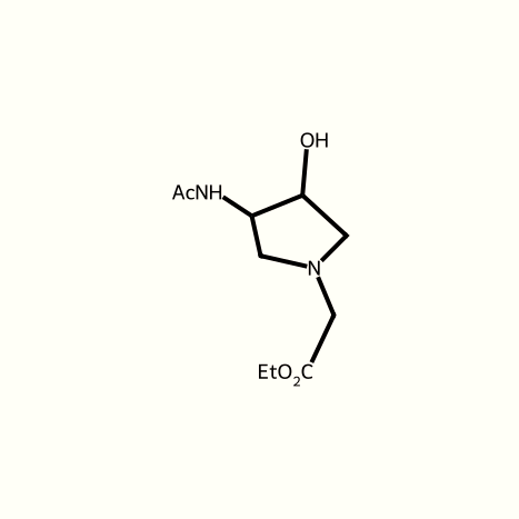 CCOC(=O)CN1CC(O)C(NC(C)=O)C1